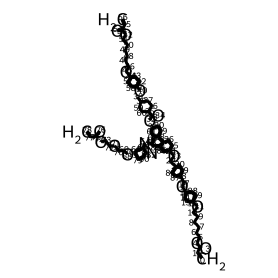 C=CC(=O)OCCCCCCOc1ccc(OCc2ccc(COc3ccc4c5ccc(OC(=O)C6CCC(COc7ccc(OCCCCCCOC(=O)C=C)cc7)CC6)cc5c5nc6cc(OCCOCCOC(=O)C=C)ccc6nc5c4c3)cc2)cc1